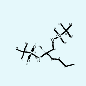 CCCC[C@](C)(CO[Si](C)(C)C(C)(C)C)NS(=O)(=O)C(C)(C)C